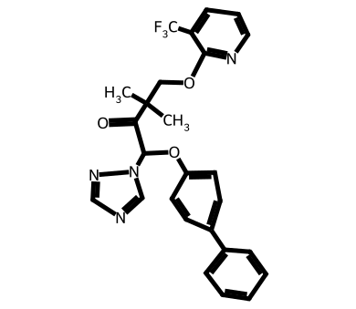 CC(C)(COc1ncccc1C(F)(F)F)C(=O)C(Oc1ccc(-c2ccccc2)cc1)n1cncn1